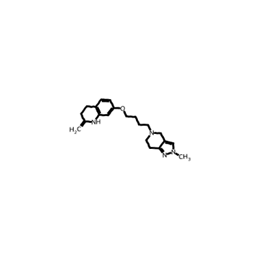 C=C1CCc2ccc(OCCCCN3CCc4nn(C)cc4C3)cc2N1